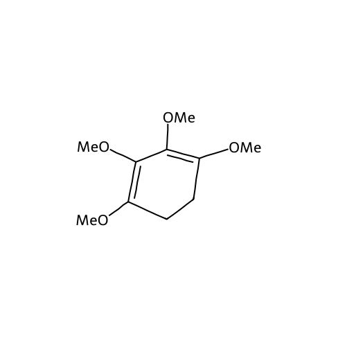 COC1=C(OC)C(OC)=C(OC)CC1